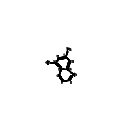 Fc1[c]c(F)c2cccnc2c1